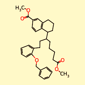 COC(=O)CCCCC(CCc1ccccc1OCc1ccccc1)C1CCCc2cc(C(=O)OC)ccc21